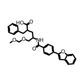 COCOCC(CC(Cc1ccccc1)C(=O)O)NC(=O)c1ccc(-c2cc3ccccc3o2)cc1